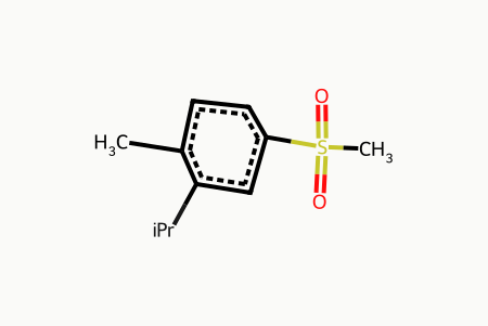 Cc1ccc(S(C)(=O)=O)cc1C(C)C